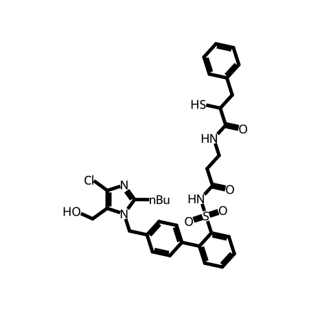 CCCCc1nc(Cl)c(CO)n1Cc1ccc(-c2ccccc2S(=O)(=O)NC(=O)CCNC(=O)C(S)Cc2ccccc2)cc1